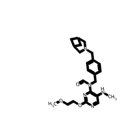 CNc1cnc(OCCOC)nc1N(C=O)Cc1ccc(CN2CC3CC(C3)C2)cc1